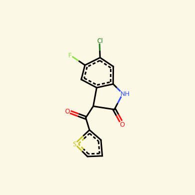 O=C1Nc2cc(Cl)c(F)cc2C1C(=O)c1cccs1